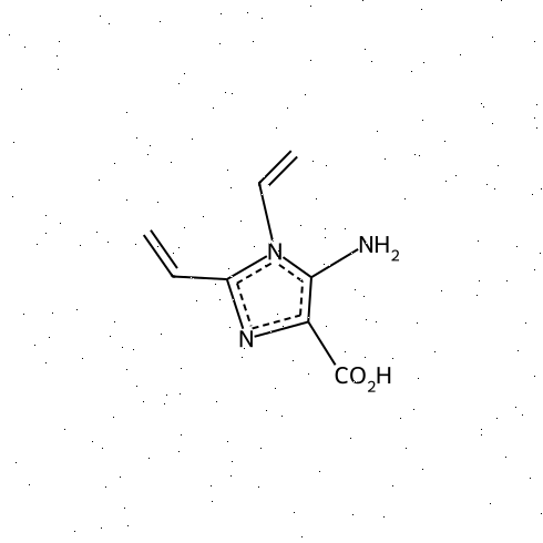 C=Cc1nc(C(=O)O)c(N)n1C=C